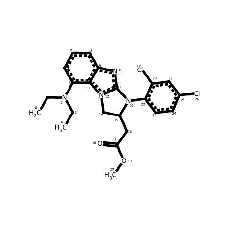 CCN(CC)c1cccc2nc3n(c12)CC(CC(=O)OC)N3c1ccc(Cl)cc1Cl